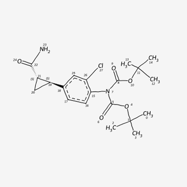 CC(C)(C)OC(=O)N(C(=O)OC(C)(C)C)c1ccc([C@H]2C[C@@H]2C(N)=O)cc1Cl